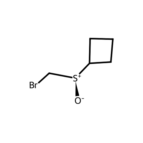 [O-][S@@+](CBr)C1CCC1